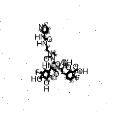 O=C(NCCN1CCN(C(=O)NC(C(=O)N[C@H]2Cc3ccc(F)c(C(=O)O)c3OB2O)c2cc(F)c(O)c(O)c2Cl)C1=O)Nc1cccnc1